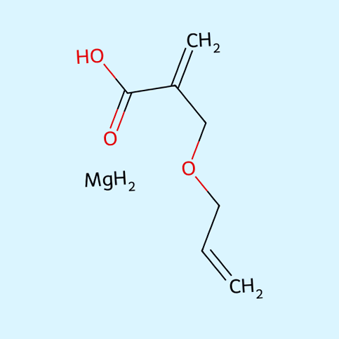 C=CCOCC(=C)C(=O)O.[MgH2]